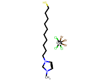 CN1C=CN(CCCCCCCCCCS)C1.[Cl][Dy]([Cl])([Cl])([Br])([Br])[Br]